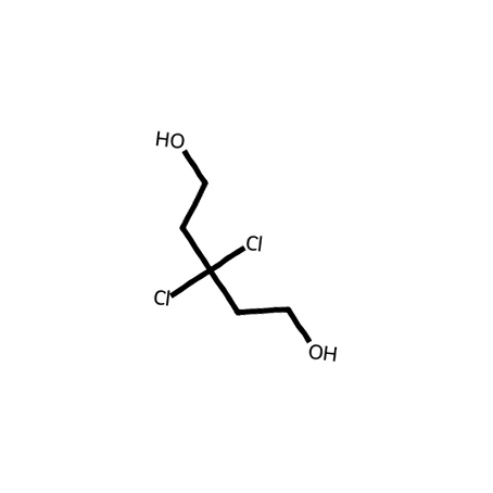 OCCC(Cl)(Cl)CCO